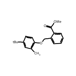 COC(=O)c1ccccc1COc1ccc(C(C)(C)C)cc1C